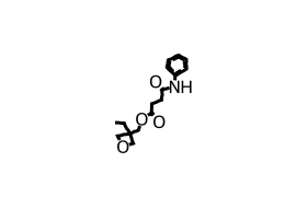 CCC1(COC(=O)CCC(=O)Nc2ccccc2)COC1